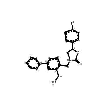 O=C1OC(c2ccc(F)cc2)CN1Cc1ccc(-c2ccccc2)cc1CO